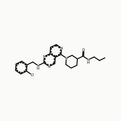 CCCNC(=O)C1CCCN(c2nccc3nc(NCc4ccccc4Cl)ncc23)C1